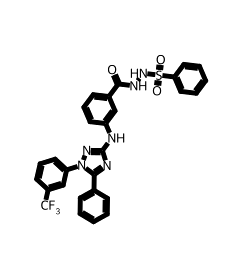 O=C(NNS(=O)(=O)c1ccccc1)c1cccc(Nc2nc(-c3ccccc3)n(-c3cccc(C(F)(F)F)c3)n2)c1